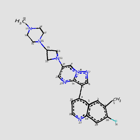 Cc1cc2c(-c3cnn4cc(N5CC(N6CCN(C)CC6)C5)cnc34)ccnc2cc1F